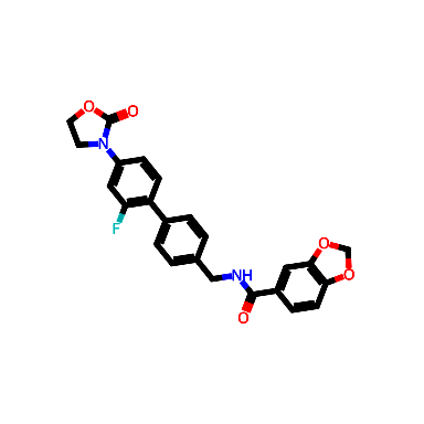 O=C(NCc1ccc(-c2ccc(N3CCOC3=O)cc2F)cc1)c1ccc2c(c1)OCO2